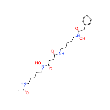 CC(=O)NCCCCCN(O)C(=O)CCC(=O)NCCCCCN(O)C(=O)Cc1ccccc1